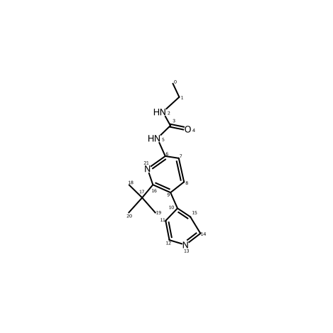 CCNC(=O)Nc1ccc(-c2ccncc2)c(C(C)(C)C)n1